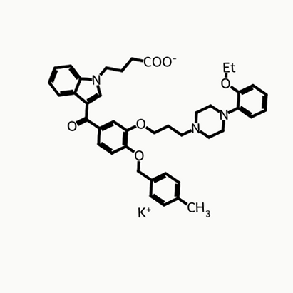 CCOc1ccccc1N1CCN(CCCOc2cc(C(=O)c3cn(CCCC(=O)[O-])c4ccccc34)ccc2OCc2ccc(C)cc2)CC1.[K+]